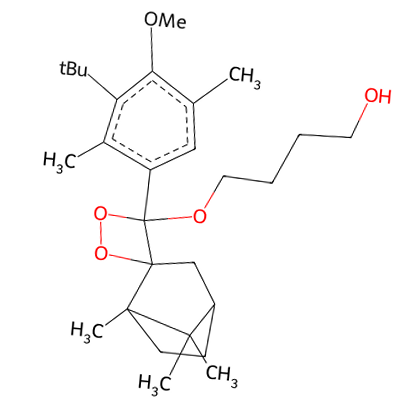 COc1c(C)cc(C2(OCCCCO)OOC23CC2CCC3(C)C2(C)C)c(C)c1C(C)(C)C